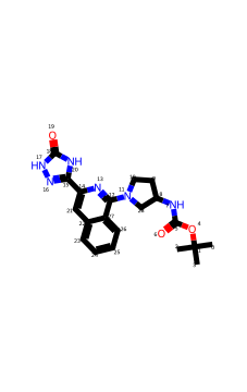 CC(C)(C)OC(=O)NC1CCN(c2nc(-c3n[nH]c(=O)[nH]3)cc3ccccc23)C1